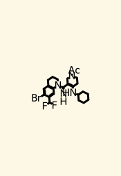 CC(=O)N1CCC(NC2CCCCC2)=C(C(=N)N2CCCc3cc(Br)c(C(F)F)cc32)C1